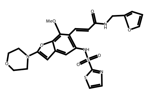 COc1c(/C=C/C(=O)NCc2ccco2)c(NS(=O)(=O)c2nccs2)cc2cc(N3CCOCC3)oc12